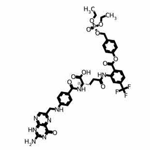 CCOP(=O)(OCC)OCc1ccc(OC(=O)c2ccc(C(F)(F)F)cc2NC(=O)CC[C@H](NC(=O)c2ccc(NCc3cnc4[nH]c(N)nc(=O)c4n3)cc2)C(=O)O)cc1